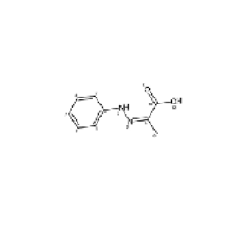 CC(=NNc1ccccc1)C(=O)O